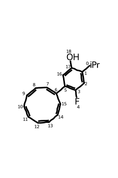 CC(C)c1cc(F)c(-c2ccccccccc2)cc1O